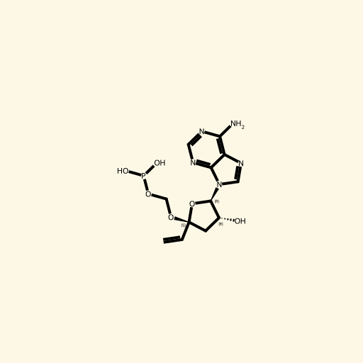 C=C[C@@]1(OCOP(O)O)C[C@@H](O)[C@H](n2cnc3c(N)ncnc32)O1